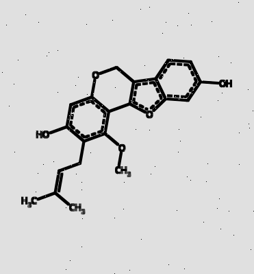 COc1c(CC=C(C)C)c(O)cc2c1-c1oc3cc(O)ccc3c1CO2